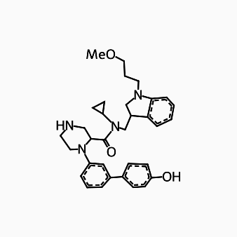 COCCCN1CC(CN(C(=O)C2CNCCN2c2cccc(-c3ccc(O)cc3)c2)C2CC2)c2ccccc21